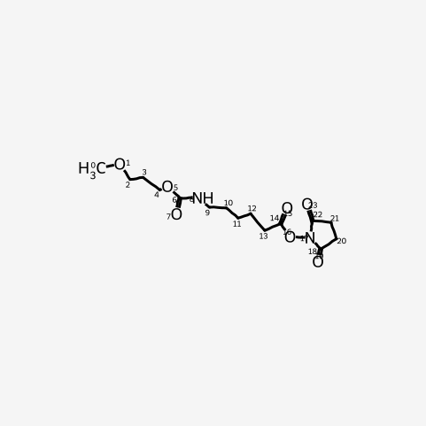 COCCCOC(=O)NCCCCCC(=O)ON1C(=O)CCC1=O